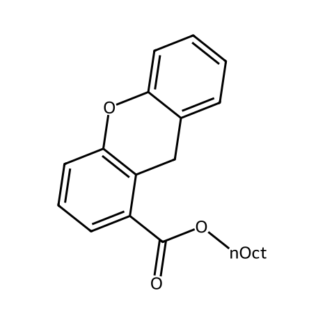 CCCCCCCCOC(=O)c1cccc2c1Cc1ccccc1O2